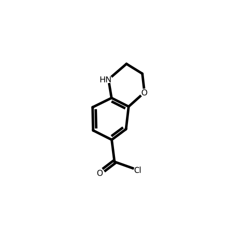 O=C(Cl)c1ccc2c(c1)OCCN2